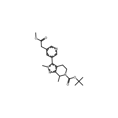 COC(=O)Cc1cncc(-c2c3c(nn2C)C(C)N(C(=O)OC(C)(C)C)CC3)c1